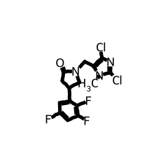 Cn1c(Cl)nc(Cl)c1CN1CC(c2cc(F)cc(F)c2F)CC1=O